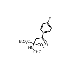 CCOC(=O)C(CC(=O)c1ccc(F)cc1)(NC=O)C(=O)OCC